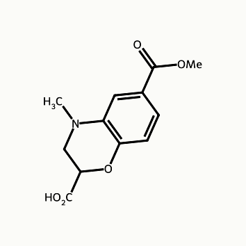 COC(=O)c1ccc2c(c1)N(C)CC(C(=O)O)O2